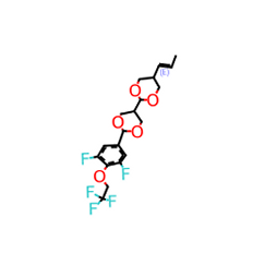 C/C=C/C1COC(C2COC(c3cc(F)c(OCC(F)(F)F)c(F)c3)OC2)OC1